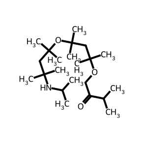 CC(C)NC(C)(C)CC(C)(C)OC(C)(C)CC(C)(C)OCC(=O)C(C)C